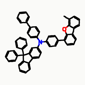 Cc1cccc2c1oc1c(-c3ccc(N(c4ccc(-c5ccccc5)cc4)c4ccc5c(c4)C(c4ccccc4)(c4ccccc4)c4ccccc4-5)cc3)cccc12